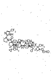 CC1([C@@H]2CC[C@]3(C(=O)N4CCC[C@H]4c4ncc(C(F)(F)F)[nH]4)CC[C@]4(C)[C@H](CC[C@@H]5[C@@]6(C)CC[C@H](OC(=O)[C@H]7C[C@@H](OC=O)C7(C)C)C(C)(C)[C@@H]6CC[C@]54C)[C@@H]23)CC1